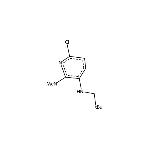 CNc1nc(Cl)ccc1NCC(C)(C)C